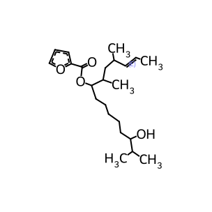 C/C=C/C(C)CC(C)C(CCCCCC(O)C(C)C)OC(=O)c1ccco1